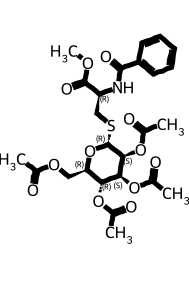 COC(=O)[C@H](CS[C@H]1O[C@H](COC(C)=O)[C@@H](OC(C)=O)[C@H](OC(C)=O)[C@@H]1OC(C)=O)NC(=O)c1ccccc1